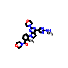 CNc1ncc(-c2nc(N3CCOCC3)nc3c2CCN3c2cccc(C(=O)N3CCOCC3)c2C)cn1